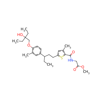 CCC(CCc1cc(C)c(C(=O)NCC(=O)OC)s1)c1ccc(OCC(O)(CC)CC)c(C)c1